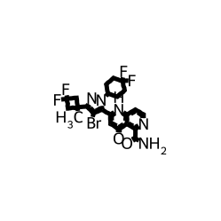 CC1(c2nn(C3CCC(F)(F)CC3)c(-c3cc(=O)c4c(C(N)=O)nccc4[nH]3)c2Br)CC(F)(F)C1